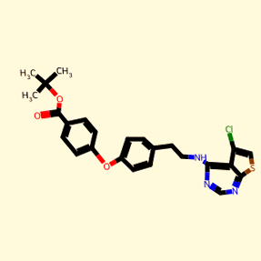 CC(C)(C)OC(=O)c1ccc(Oc2ccc(CCNc3ncnc4scc(Cl)c34)cc2)cc1